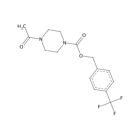 [CH2]C(=O)N1CCN(C(=O)OCc2ccc(C(F)(F)F)cc2)CC1